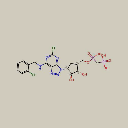 O=P(O)(O)CP(=O)(O)OC[C@H]1C[C@@H](n2nnc3c(NCc4ccccc4Cl)nc(Cl)nc32)[C@H](O)[C@H]1O